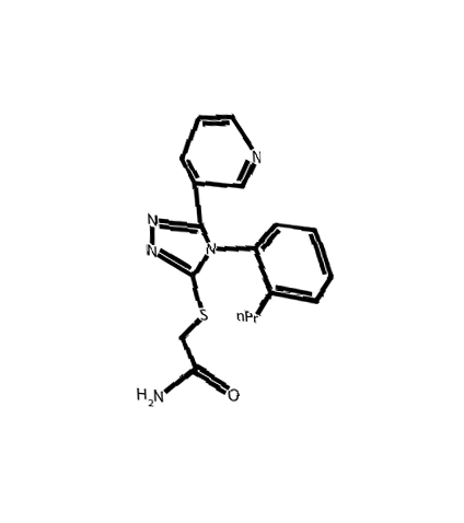 CCCc1ccccc1-n1c(SCC(N)=O)nnc1-c1cccnc1